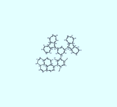 Cc1nc(C)c(-c2ccc3c4c5c(ccc24)C=CCC5C=C3)c(C)c1-c1cc(-n2c3ccccc3c3ccccc32)cc(-n2c3ccccc3c3ccccc32)c1